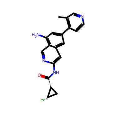 Cc1cnccc1-c1cc(N)c2cnc(NC(=O)[C@@H]3C[C@@H]3F)cc2c1